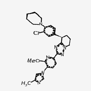 COc1nc(-c2nc3n(n2)CCC[C@@H]3c2ccc(N3CCCCC3)c(Cl)c2)ccc1-n1cnc(C)c1